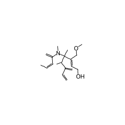 C=CC(=C)C(C)C(C)(/C(=C/CO)COC)N(C)C(=C)/C=C\C